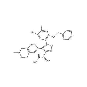 Cc1cc(OCc2ccccc2)c(-c2onc(C(=N)NC#N)c2-c2ccc3c(c2)CCN(C)C3)cc1C(C)C